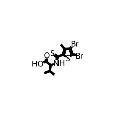 Cc1c(C(=S)N[C@H](C(=O)O)C(C)C)sc(Br)c1Br